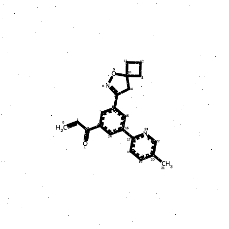 C=CC(=O)c1cc(C2=NOC3(CCC3)C2)cc(-c2ccc(C)cn2)c1